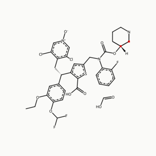 CCOc1cc([C@H](Cc2c(Cl)c[n+]([O-])cc2Cl)c2cc(CN(C(=O)O[C@H]3CN4CCC3CC4)c3ccccc3F)sc2C(=O)O)ccc1OC(F)F.O=CO